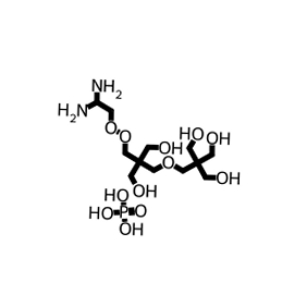 NC(N)COOCC(CO)(CO)COCC(CO)(CO)CO.O=P(O)(O)O